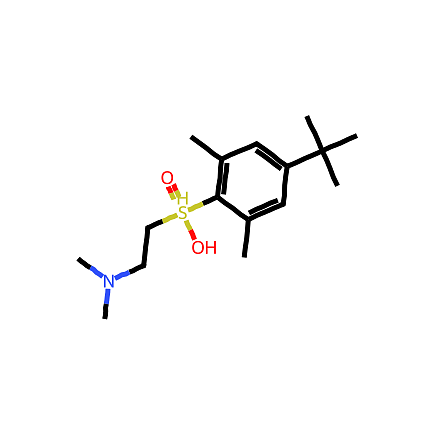 Cc1cc(C(C)(C)C)cc(C)c1[SH](=O)(O)CCN(C)C